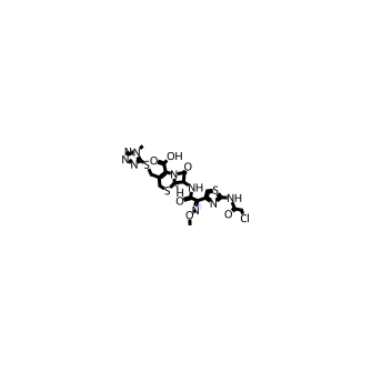 CO/N=C(\C(=O)NC1C(=O)N2C(C(=O)O)=C(CSc3nnnn3C)CS[C@H]12)c1csc(NC(=O)CCl)n1